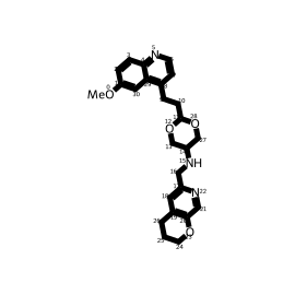 COc1ccc2nccc(CCC3OCC(NCc4cc5c(cn4)OCCC5)CO3)c2c1